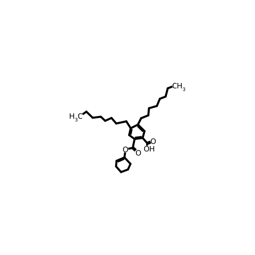 CCCCCCCCc1cc(C(=O)O)c(C(=O)OC2=CCCCC2)cc1CCCCCCCC